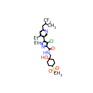 CCc1cc(CC(C)C(F)(F)F)ncc1-c1c(Cl)c(C(=O)NCC2(O)CCC(S(C)(=O)=O)CC2)nn1CC